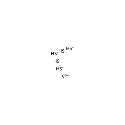 [SH-].[SH-].[SH-].[SH-].[SH-].[V+5]